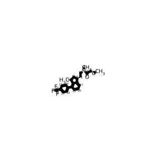 COCC(=O)N(C)CC[C@@H]1C[C@@H](C)c2c(-c3ccc(C(F)(F)F)cc3)cccc21